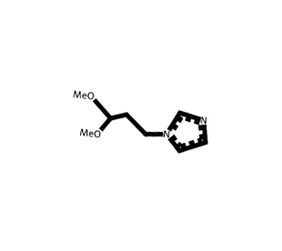 COC(CCn1ccnc1)OC